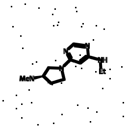 CCNc1cc(N2CC[C@@H](NC)C2)ncn1